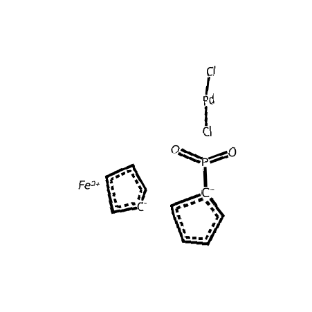 O=P(=O)[c-]1cccc1.[Cl][Pd][Cl].[Fe+2].c1cc[cH-]c1